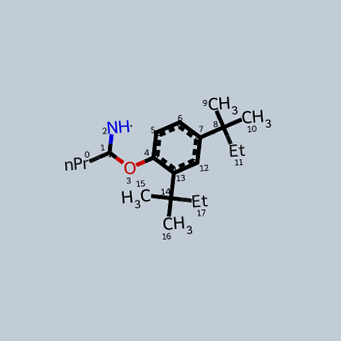 CCC[C]([NH])Oc1ccc(C(C)(C)CC)cc1C(C)(C)CC